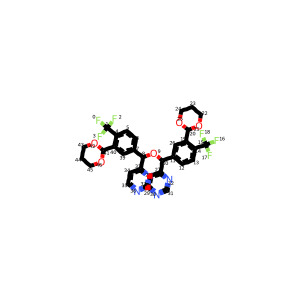 FC(F)(F)c1ccc(C(OC(c2ccc(C(F)(F)F)c(C3OCCCO3)c2)c2ccncn2)c2ccncn2)cc1C1OCCCO1